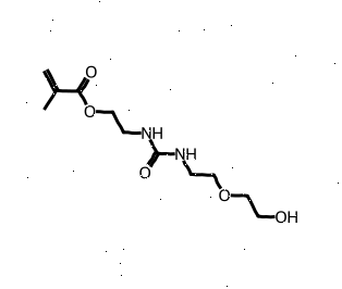 C=C(C)C(=O)OCCNC(=O)NCCOCCO